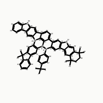 CC(C)(C)c1ccc(N2B3c4cc5c(cc4-n4c6cc7c(cc6c6ccc(c3c64)-c3cc4sc6cc8c(cc6c4cc32)C(C)(C)CCC8(C)C)sc2ccccc27)C(C)(C)c2ccccc2-5)cc1